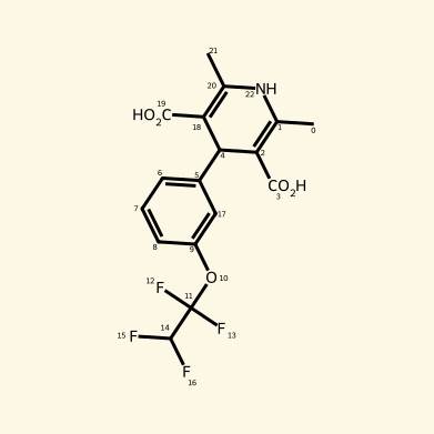 CC1=C(C(=O)O)C(c2cccc(OC(F)(F)C(F)F)c2)C(C(=O)O)=C(C)N1